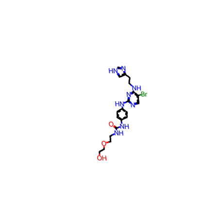 O=C(NCCOCCO)Nc1ccc(Nc2ncc(Br)c(NCCc3c[nH]cn3)n2)cc1